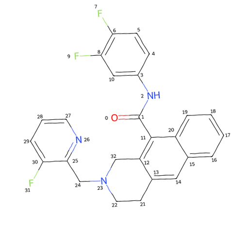 O=C(Nc1ccc(F)c(F)c1)c1c2c(cc3ccccc13)CCN(Cc1ncccc1F)C2